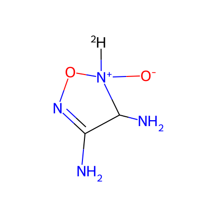 [2H][N+]1([O-])ON=C(N)C1N